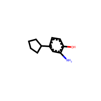 Nc1cc(C2CCCC2)ccc1O